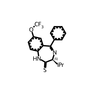 CC(C)[C@@H]1N=C(c2ccccc2)c2cc(OC(F)(F)F)ccc2NC1=S